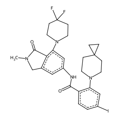 CN1Cc2cc(NC(=O)c3ccc(I)cc3N3CCC4(CC3)CC4)cc(N3CCC(F)(F)CC3)c2C1=O